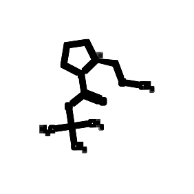 COC[C@@H]1CCCN1C(=O)OC(C)(C)C